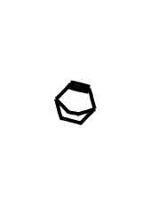 C1#CC2CCC1CC2